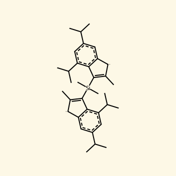 CC1=C([Si](C)(C)C2=C(C)[CH]c3cc(C(C)C)cc(C(C)C)c32)c2c(cc(C(C)C)cc2C(C)C)[CH]1